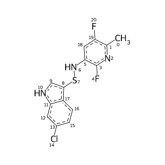 Cc1nc(F)c(NSc2c[nH]c3cc(Cl)ccc23)cc1F